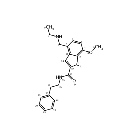 CCNCc1ccc(OC)c2oc(C(=O)NCCc3ccccc3)cc12